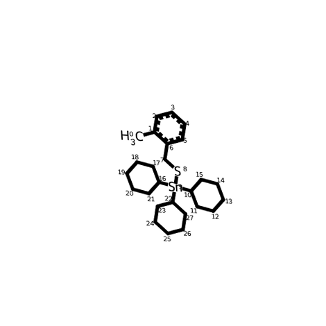 Cc1ccccc1C[S][Sn]([CH]1CCCCC1)([CH]1CCCCC1)[CH]1CCCCC1